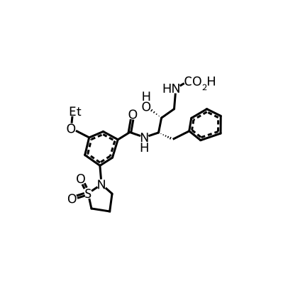 CCOc1cc(C(=O)N[C@@H](Cc2ccccc2)[C@H](O)CNC(=O)O)cc(N2CCCS2(=O)=O)c1